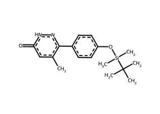 Cc1cc(=O)[nH]nc1-c1ccc(O[Si](C)(C)C(C)(C)C)cc1